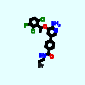 CC(C)CCNC(=O)c1ccc(-c2cnc(N)c(OC(C)c3c(Cl)ccc(F)c3Cl)c2)cc1